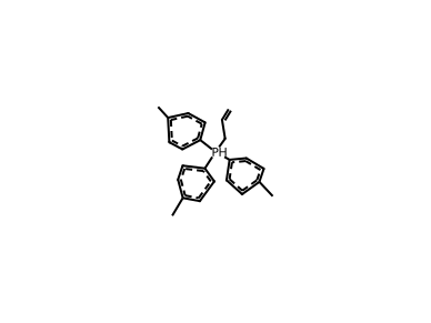 C=CC[PH](c1ccc(C)cc1)(c1ccc(C)cc1)c1ccc(C)cc1